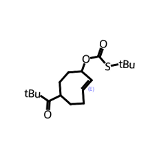 CC(C)(C)SC(=O)OC1/C=C/CCC(C(=O)C(C)(C)C)CC1